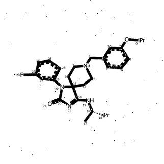 CC(C)Oc1cccc(CN2CCC3(CC2)C(N[C@@H](C)C(C)C)=NC(=O)N3c2cccc(F)c2)c1